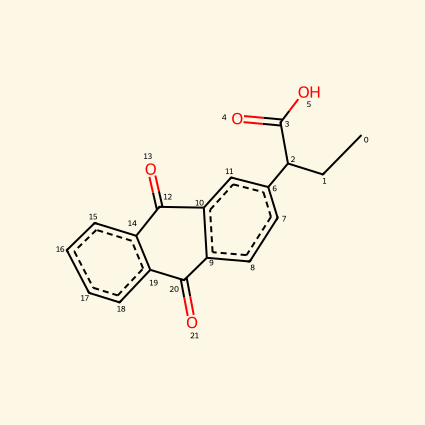 CCC(C(=O)O)c1ccc2c(c1)C(=O)c1ccccc1C2=O